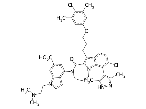 Cc1cc(OCCCc2c3n(c4c(-c5c(C)n[nH]c5C)c(Cl)ccc24)CCCN(c2cc(C(=O)O)cc4c2ccn4CCN(C)C)C3=O)cc(C)c1Cl